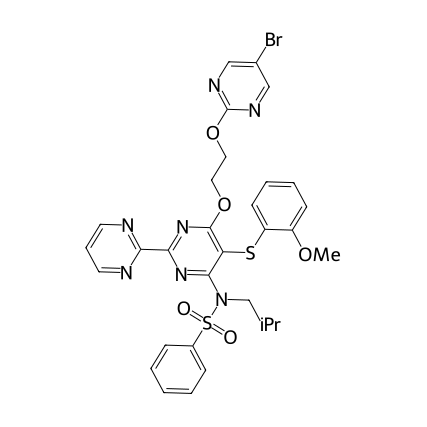 COc1ccccc1Sc1c(OCCOc2ncc(Br)cn2)nc(-c2ncccn2)nc1N(CC(C)C)S(=O)(=O)c1ccccc1